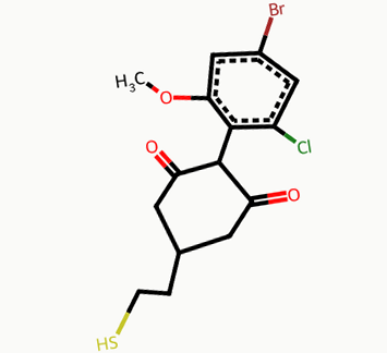 COc1cc(Br)cc(Cl)c1C1C(=O)CC(CCS)CC1=O